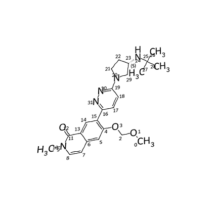 COCOc1cc2ccn(C)c(=O)c2cc1-c1ccc(N2CC[C@H](NC(C)(C)C)C2)nn1